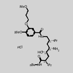 CCCCNC(=O)[C@@H](C[C@H](O)[C@@H](N)C[C@H](CNC(=O)c1ccc(OC)c(OCCCOC)c1)C(C)C)C(C)C.Cl